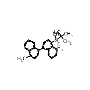 Cc1ccc(-c2ccc([Si](C)(C)C(C)(C)C)c3ccccc23)c2ccccc12